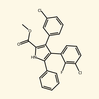 COC(=O)c1[nH]c(-c2ccccc2)c(-c2cccc(Cl)c2F)c1-c1cccc(Cl)c1